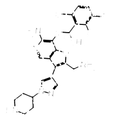 C[C@@H](Oc1c(N)ncc2c(-c3cnn(C4CCNCC4)c3)c(CN)oc12)c1c(Cl)ccc(F)c1Cl